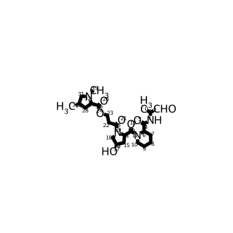 CC(C=O)NC(=O)C1CCCCN1C(=O)C1C[C@@H](O)CN1C(=O)CCOC(=O)C1C[C@@H](C)CN1C